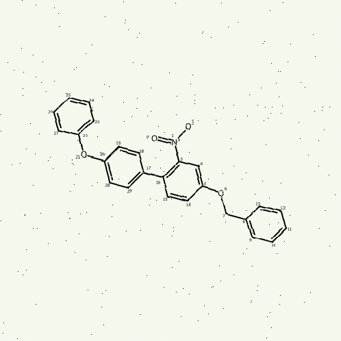 O=[N+]([O-])c1cc(OCc2ccccc2)ccc1-c1ccc(Oc2ccccc2)cc1